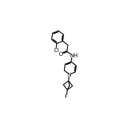 O=C(Cc1ccccc1Cl)NC1=CCN(C23CC(F)(C2)C3)C=C1